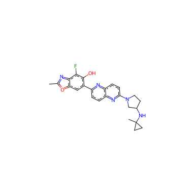 Cc1nc2c(F)c(O)c(-c3ccc4nc(N5CCC(NC6(C)CC6)C5)ccc4n3)cc2o1